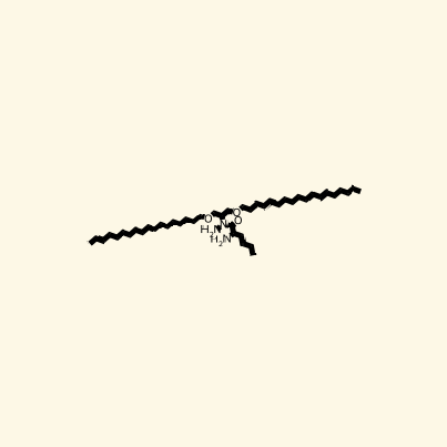 CCCCCCCCCCCCCCCCCCOCC(COCCCCCCCCCCCCCCCCCC)N(N)C(=O)C(N)CCCC